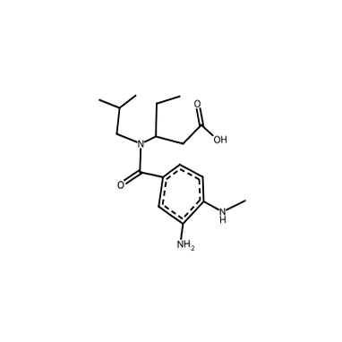 CCC(CC(=O)O)N(CC(C)C)C(=O)c1ccc(NC)c(N)c1